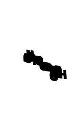 O=C1NC(=O)C(Cc2ccc(OCCON=Cc3cnc4ccccc4c3)cc2)S1